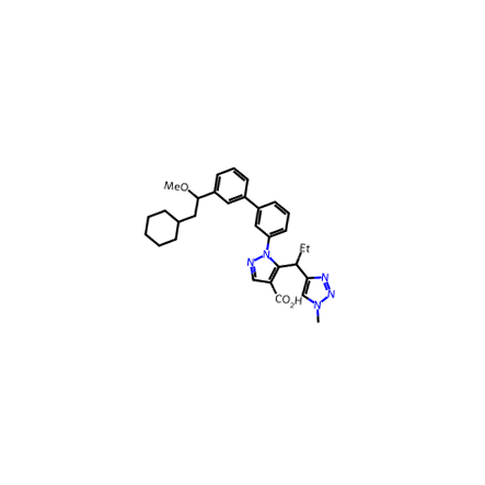 CCC(c1cn(C)nn1)c1c(C(=O)O)cnn1-c1cccc(-c2cccc(C(CC3CCCCC3)OC)c2)c1